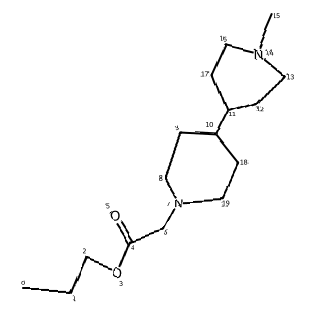 CCCOC(=O)CN1CCC(C2CCN(C)CC2)CC1